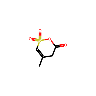 CC1=CS(=O)(=O)OC(=O)C1